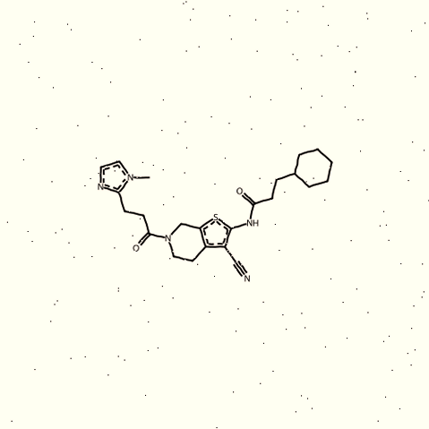 Cn1ccnc1CCC(=O)N1CCc2c(sc(NC(=O)CCC3CCCCC3)c2C#N)C1